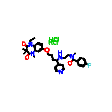 CCN1C(=O)C(C)(C)C(=O)N(C)c2cc(OCCCC(NCCN(C)C(=O)c3ccc(F)cc3)c3ccncc3)ccc21.Cl.Cl